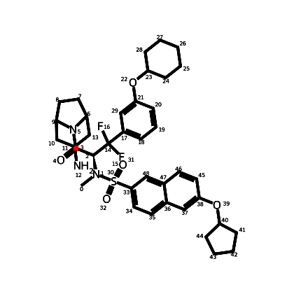 CN([C@@H](C(=O)N1C2CCC1CC(N)C2)C(F)(F)c1cccc(OC2CCCCC2)c1)S(=O)(=O)c1ccc2cc(OC3CCCC3)ccc2c1